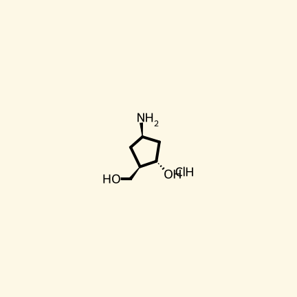 Cl.N[C@@H]1C[C@H](CO)[C@@H](O)C1